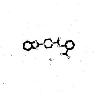 O=C([O-])c1ccccc1NC(=O)N1CCN(c2nc3ccccc3s2)CC1.[Na+]